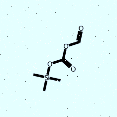 C[Si](C)(C)OC(=O)OC=O